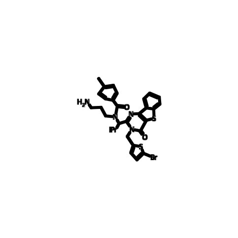 Cc1ccc(C(=O)N(CCCN)C(c2nc3c(sc4ccccc43)c(=O)n2Cc2ccc(Br)s2)C(C)C)cc1